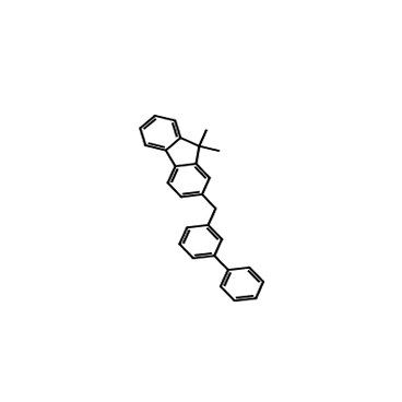 CC1(C)c2ccccc2-c2ccc(Cc3cccc(-c4ccccc4)c3)cc21